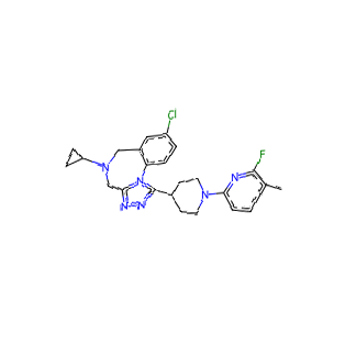 Cc1ccc(N2CCC(c3nnc4n3-c3ccc(Cl)cc3CN(C3CC3)C4)CC2)nc1F